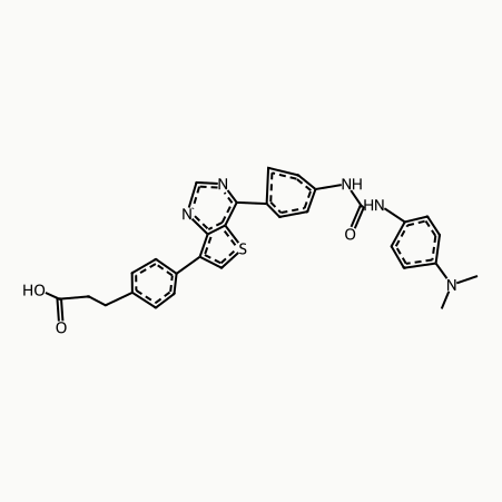 CN(C)c1ccc(NC(=O)Nc2ccc(-c3ncnc4c(-c5ccc(CCC(=O)O)cc5)csc34)cc2)cc1